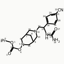 CC(C)OC(=O)ON1CC2CC(CN(CC(NC(N)=O)c3ccc(C#N)cc3)C2)C1